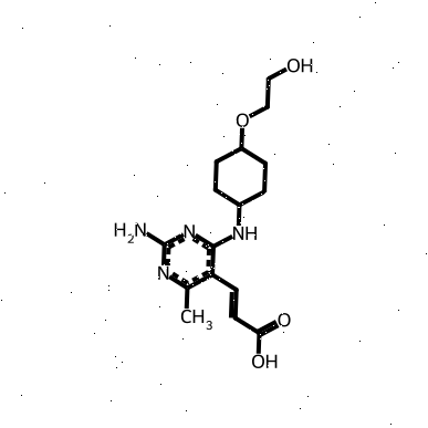 Cc1nc(N)nc(NC2CCC(OCCO)CC2)c1C=CC(=O)O